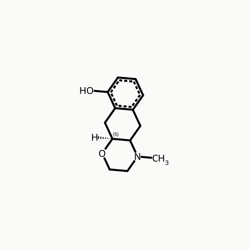 CN1CCO[C@H]2Cc3c(O)cccc3CC21